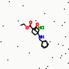 CCOC(=O)C12CCC(NCc3ccccc3)(CC1)CC2=O.Cl